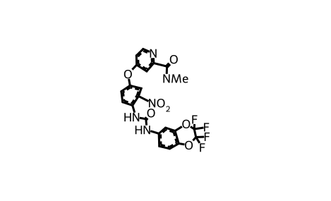 CNC(=O)c1cc(Oc2ccc(NC(=O)Nc3ccc4c(c3)OC(F)(F)C(F)(F)O4)c([N+](=O)[O-])c2)ccn1